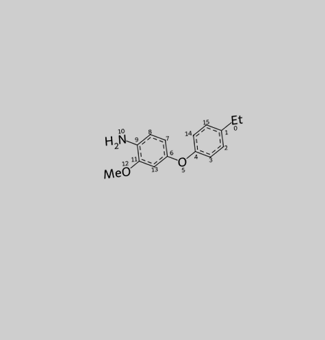 CCc1ccc(Oc2ccc(N)c(OC)c2)cc1